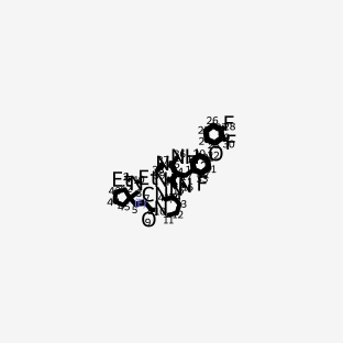 CCN(CC)CC1(/C=C(\C#N)C(=O)N2CCC[C@@H](n3nc(-c4ccc(Oc5cccc(F)c5F)cc4F)c4c(N)ncnc43)C2)CCCC1